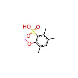 Cc1cc(C)c(OI)c(S(=O)(=O)O)c1C